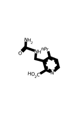 CCCc1ccnc(C(=O)O)c1CNC(N)=O